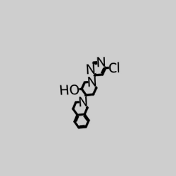 OC1CN(c2cc(Cl)ncn2)CCC1N1CCc2ccccc2C1